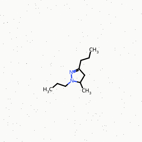 CCCC1=NN(CCC)C(C)C1